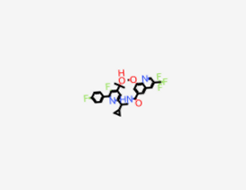 COc1cc(C(=O)NCC(c2cc(C(C)(C)O)c(F)c(-c3ccc(F)cc3)n2)C2CC2)cc2cc(C(F)(F)F)cnc12